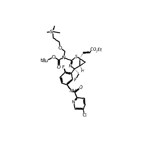 CCOC(=O)/C=C/[C@]12C[C@H]1[C@@](CF)(c1cc(NC(=O)c3ccc(Cl)cn3)ccc1F)N=C(N(COCC[Si](C)(C)C)C(=O)OC(C)(C)C)S2